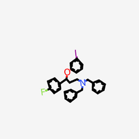 Fc1ccc(C(CCN(Cc2ccccc2)Cc2ccccc2)Oc2cccc(I)c2)cc1